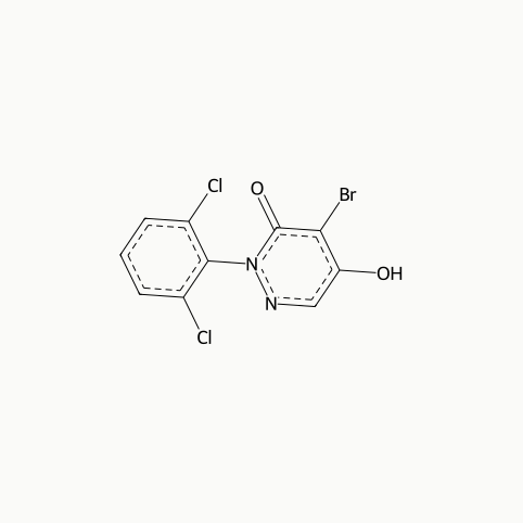 O=c1c(Br)c(O)cnn1-c1c(Cl)cccc1Cl